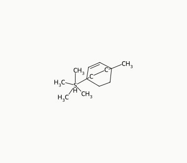 CC12C=CC([SH](C)(C)(C)C)(CC1)CC2